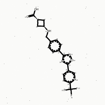 O=C(O)[C@H]1C[C@@H](NCc2ccc(-c3noc(-c4ccc(C(F)(F)F)nc4)n3)cc2)C1